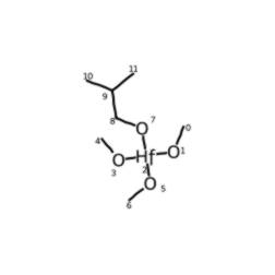 C[O][Hf]([O]C)([O]C)[O]CC(C)C